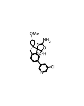 [2H]C1([2H])OC(N)=NC12c1cc(-c3cncc(Cl)c3)ccc1C[C@]21CC[C@@H](OC)CC1